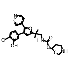 CC(C)(CNC(=O)OC1CCNCC1)c1cc(-c2ccc(Cl)c(O)c2)c(-c2ccncc2)o1